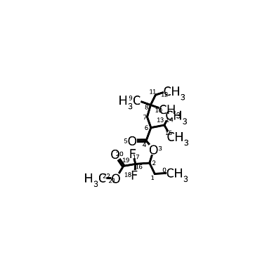 CCC(OC(=O)C(CC(C)(C)CC)C(C)C)C(F)(F)C(=O)OC